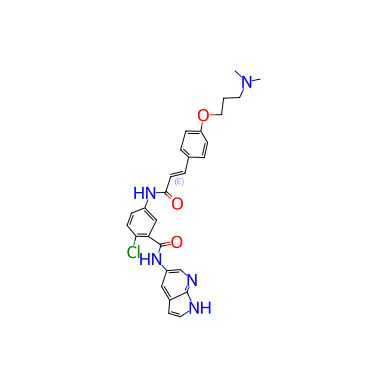 CN(C)CCCOc1ccc(/C=C/C(=O)Nc2ccc(Cl)c(C(=O)Nc3cnc4[nH]ccc4c3)c2)cc1